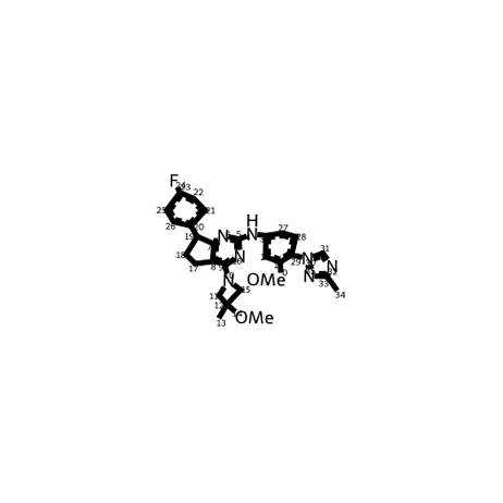 COc1cc(Nc2nc3c(c(N4CC(C)(OC)C4)n2)CCC3c2ccc(F)cc2)ccc1-n1cnc(C)n1